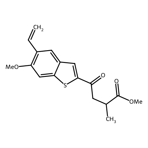 C=Cc1cc2cc(C(=O)CC(C)C(=O)OC)sc2cc1OC